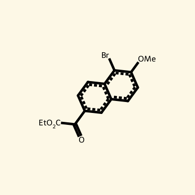 CCOC(=O)C(=O)c1ccc2c(Br)c(OC)ccc2c1